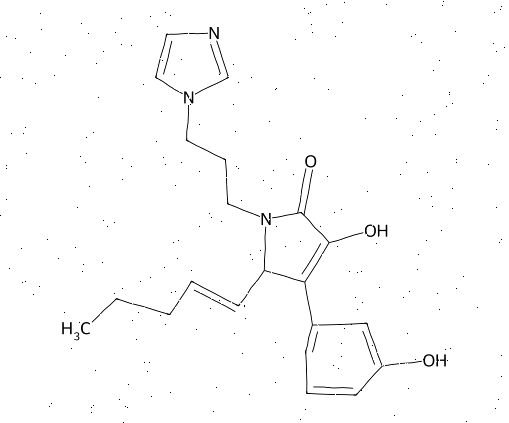 CCCC=CC1C(c2cccc(O)c2)=C(O)C(=O)N1CCCn1ccnc1